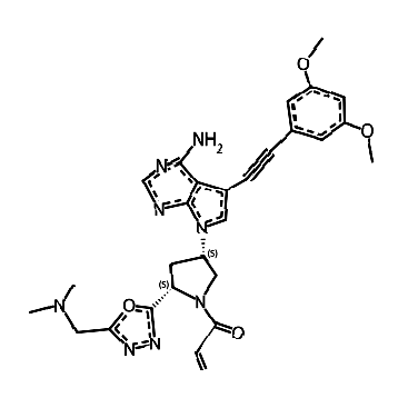 C=CC(=O)N1C[C@@H](n2cc(C#Cc3cc(OC)cc(OC)c3)c3c(N)ncnc32)C[C@H]1c1nnc(CN(C)C)o1